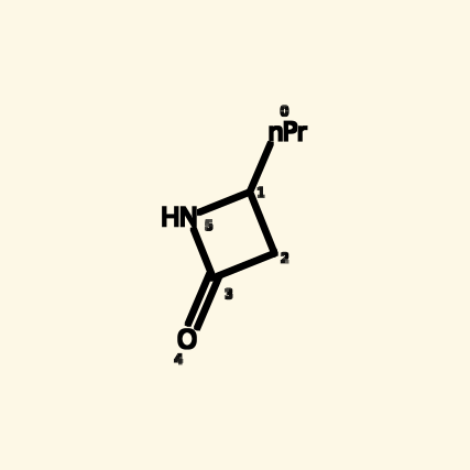 CCCC1CC(=O)N1